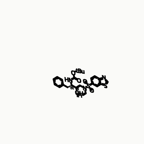 CC(C)CN(C[C@@H](O)[C@H](Cc1ccccc1)NC(=O)OC(C)(C)C)S(=O)(=O)c1ccc2ncsc2c1